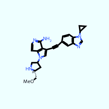 COC[C@H]1CC(n2cc(C#Cc3ccc4c(c3)ncn4C3CC3)c3c(N)nccc32)CN1